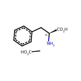 CC(=O)O.N[C@@H](Cc1ccccc1)C(=O)O